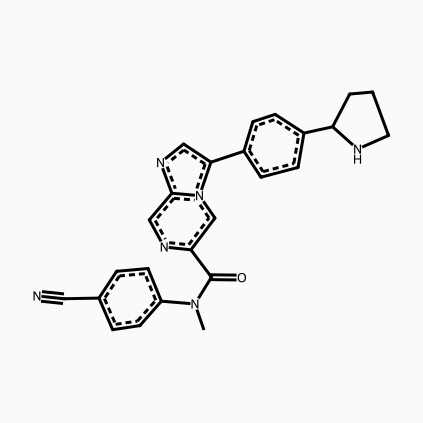 CN(C(=O)c1cn2c(-c3ccc(C4CCCN4)cc3)cnc2cn1)c1ccc(C#N)cc1